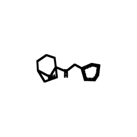 c1ccc(CNC23CCCC(CC2)N3)cc1